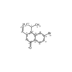 CC(C)n1c(C=O)cc(=O)c2ccc(Br)cc21